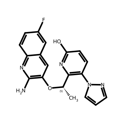 C[C@H](Oc1cc2cc(F)ccc2nc1N)c1nc(O)ccc1-n1cccn1